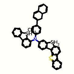 C[SiH]1c2ccccc2-c2cccc(N(c3ccc(C4=CC=C5C=CC=CC5C4)cc3)c3ccc4c(c3)[SiH2]c3ccc5c(sc6ccccc65)c3-4)c21